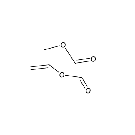 C=COC=O.COC=O